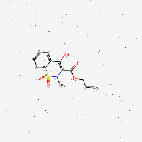 C=CCOC(=O)C1=C(O)c2ccccc2S(=O)(=O)N1C